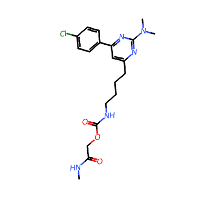 CNC(=O)COC(=O)NCCCCc1cc(-c2ccc(Cl)cc2)nc(N(C)C)n1